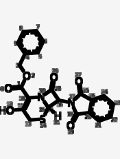 O=C(OCc1ccccc1)C1=C(O)CS[C@H]2C(N3C(=O)c4ccccc4C3=O)C(=O)N12